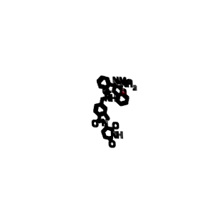 CN[C@](C(N)=O)(c1ccccc1)[C@@H](C(=O)NCc1ccc2c(c1)CN(C1CCC(=O)NC1=O)C2=O)c1ccccc1